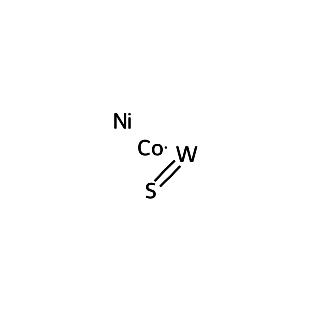 [Co].[Ni].[S]=[W]